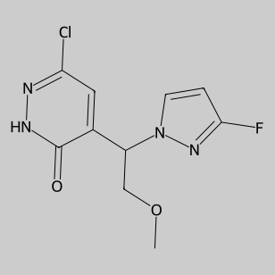 COCC(c1cc(Cl)n[nH]c1=O)n1ccc(F)n1